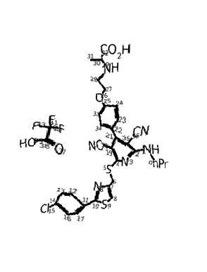 CCCNc1nc(SCc2csc(-c3ccc(Cl)cc3)n2)c(C#N)c(-c2ccc(OCCN[C@@H](C)C(=O)O)cc2)c1C#N.O=C(O)C(F)(F)F